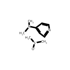 CN(C)c1ccncc1.C[S+](C)[O-]